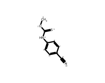 COC(=S)Nc1ccc(C#N)cc1